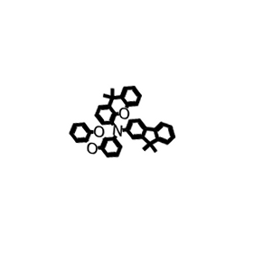 CC1(C)c2ccccc2-c2ccc(N(c3cccc4c3Oc3ccccc3O4)c3cccc4c3Oc3ccccc3C4(C)C)cc21